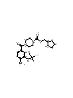 Nc1ccc(C(=O)N2CCN(C(=O)OCC3CCCO3)CC2)cc1OC(F)(F)F